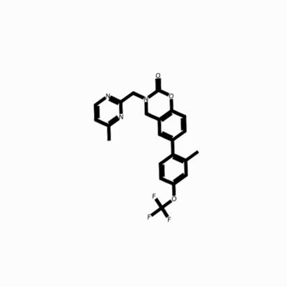 Cc1ccnc(CN2Cc3cc(-c4ccc(OC(F)(F)F)cc4C)ccc3OC2=O)n1